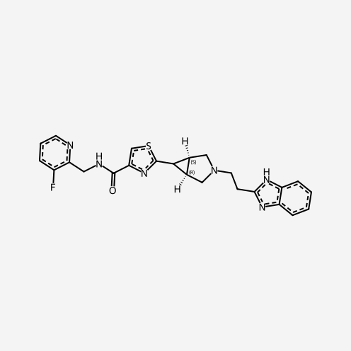 O=C(NCc1ncccc1F)c1csc(C2[C@H]3CN(CCc4nc5ccccc5[nH]4)C[C@@H]23)n1